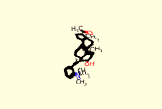 CC(=O)[C@H]1CCC2C3CC[C@@H]4C(C#Cc5ccccc5N(C)C)[C@H](O)CC[C@]4(C)C3CC[C@@]21C